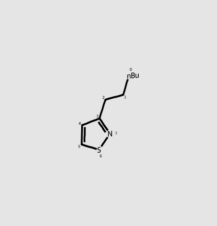 [CH2]CCCCCc1ccsn1